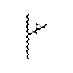 CCCCCCCCCCC(CCCCCCCC)COC(=O)C(CCCC)OP